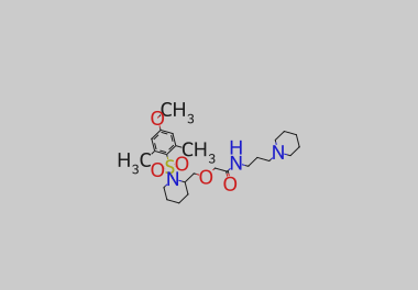 COc1cc(C)c(S(=O)(=O)N2CCCCC2COCC(=O)NCCCN2CCCCC2)c(C)c1